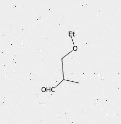 CCOCC(C)C=O